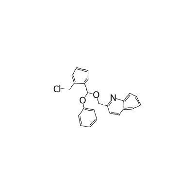 ClCc1ccccc1C(OCc1ccc2ccccc2n1)Oc1ccccc1